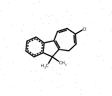 CC1(C)C2=C(C=CC(Cl)=CC2)c2ccccc21